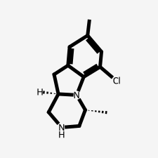 Cc1cc(Cl)c2c(c1)C[C@@H]1CNC[C@@H](C)N21